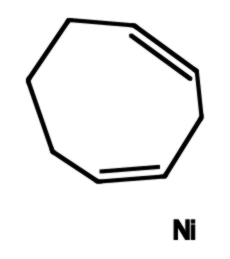 C1=CCCCC=CC1.[Ni]